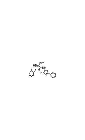 CCC[C@H](NC1Cc2ccccc2C1)C(=O)Nc1cc(-c2ccccc2)n[nH]1